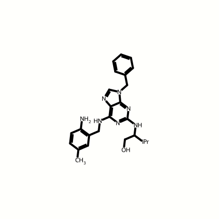 Cc1ccc(N)c(CNc2nc(NC(CO)C(C)C)nc3c2ncn3Cc2ccccc2)c1